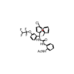 CC(=O)Nc1ccccc1NC(=O)N[C@@](Cc1ccccc1)(c1cccc(OC(F)(F)C(F)F)c1)c1ccc(Cl)cn1